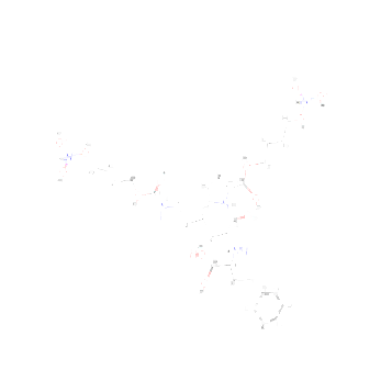 O=C(NCCCCC(NC(CCc1ccccc1)C(=O)O)C(=O)N1CCCC1C(=O)OCCCCO[N+](=O)[O-])OCCCCO[N+](=O)[O-]